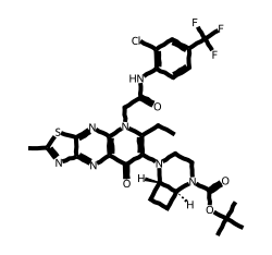 CCc1c(N2CCN(C(=O)OC(C)(C)C)[C@H]3CC[C@@H]32)c(=O)c2nc3nc(C)sc3nc2n1CC(=O)Nc1ccc(C(F)(F)F)cc1Cl